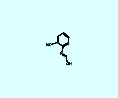 N#Cc1cccnc1N=NO